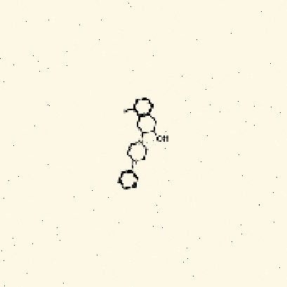 OC1Cc2cccc(I)c2CC1N1CCN(c2ccccc2)CC1